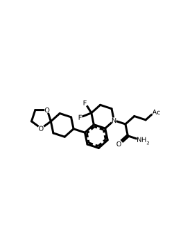 CC(=O)CCC(C(N)=O)N1CCC(F)(F)c2c(C3CCC4(CC3)OCCO4)cccc21